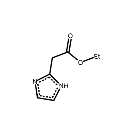 CCOC(=O)Cc1ncc[nH]1